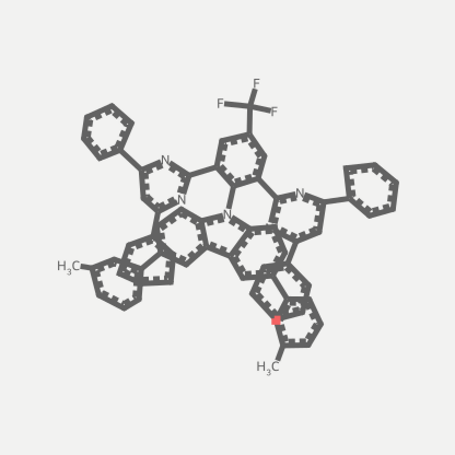 Cc1cccc(-c2ccc3c(c2)c2cc(-c4cccc(C)c4)ccc2n3-c2c(-c3nc(-c4ccccc4)cc(-c4ccccc4)n3)cc(C(F)(F)F)cc2-c2nc(-c3ccccc3)cc(-c3ccccc3)n2)c1